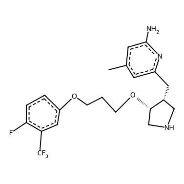 Cc1cc(N)nc(C[C@@H]2CNC[C@@H]2OCCCOc2ccc(F)c(C(F)(F)F)c2)c1